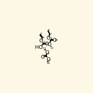 C=COC(=O)O.CCOC(=O)OC.COC(=O)OC